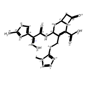 Cn1nnnc1SCC1=C(C(=O)O)N2C(=O)CC2SC1NC(=O)/C(=N\O)c1csc(N)n1